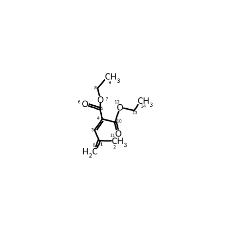 C=C(C)C=C(C(=O)OCC)C(=O)OCC